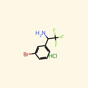 Cl.NC(c1cccc(Br)c1)C(F)(F)F